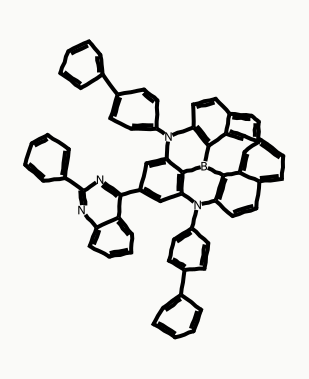 c1ccc(-c2ccc(N3c4cc(-c5nc(-c6ccccc6)nc6ccccc56)cc5c4B(c4c3ccc3ccccc43)c3c(ccc4ccccc34)N5c3ccc(-c4ccccc4)cc3)cc2)cc1